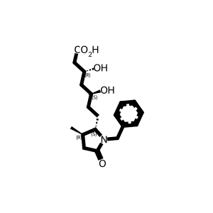 C[C@@H]1CC(=O)N(Cc2ccccc2)[C@H]1CC[C@H](O)C[C@@H](O)CC(=O)O